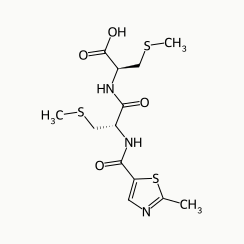 CSC[C@@H](NC(=O)[C@@H](CSC)NC(=O)c1cnc(C)s1)C(=O)O